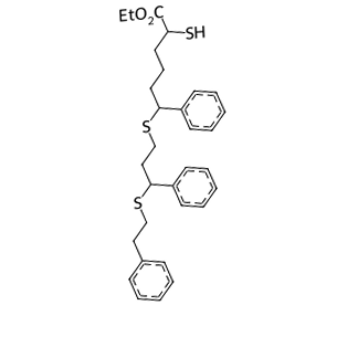 CCOC(=O)C(S)CCCC(SCCC(SCCc1ccccc1)c1ccccc1)c1ccccc1